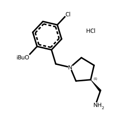 CC(C)COc1ccc(Cl)cc1CN1CC[C@@H](CN)C1.Cl